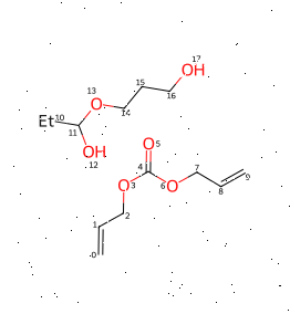 C=CCOC(=O)OCC=C.CCC(O)OCCCO